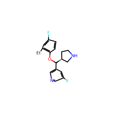 CCc1cc(F)ccc1OC(c1cncc(F)c1)[C@H]1CCNC1